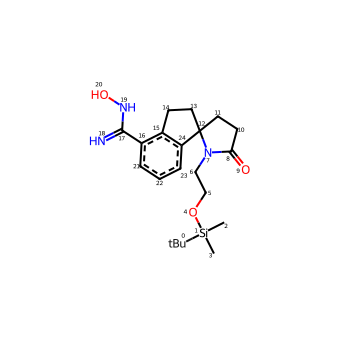 CC(C)(C)[Si](C)(C)OCCN1C(=O)CCC12CCc1c(C(=N)NO)cccc12